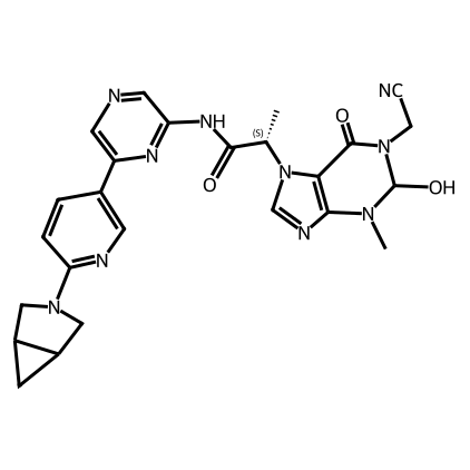 C[C@@H](C(=O)Nc1cncc(-c2ccc(N3CC4CC4C3)nc2)n1)n1cnc2c1C(=O)N(CC#N)C(O)N2C